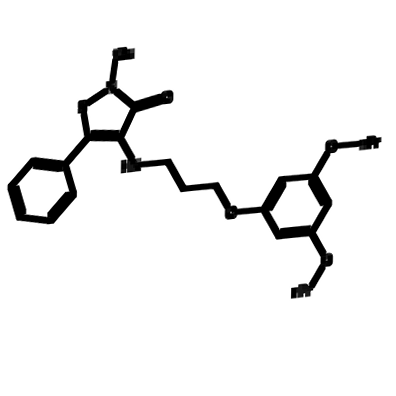 CCCOc1cc(OCCC)cc(OCCCNc2c(-c3ccccc3)sn(C(C)(C)C)c2=O)c1